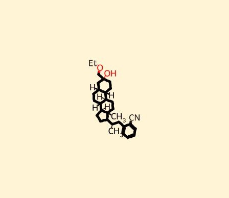 CCOC[C@@]1(O)CC[C@H]2[C@H](CC[C@@H]3[C@@H]2CC[C@]2(C)C([C@@H](C)Cc4ccccc4C#N)CC[C@@H]32)C1